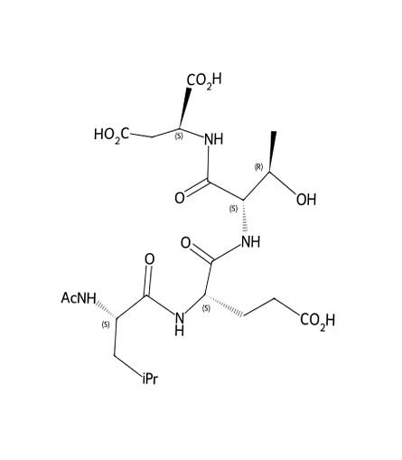 CC(=O)N[C@@H](CC(C)C)C(=O)N[C@@H](CCC(=O)O)C(=O)N[C@H](C(=O)N[C@@H](CC(=O)O)C(=O)O)[C@@H](C)O